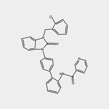 N=c1n(Cc2ccccc2Cl)c2ccccc2n1-c1ccc(-c2ccccc2NC(=O)c2cccnc2)cc1